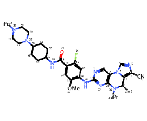 CC[C@@H]1c2c(C#N)ncn2-c2cnc(Nc3cc(F)c(C(=O)NC4CCC(N5CCN(C(C)C)CC5)CC4)cc3OC)nc2N1C(C)C